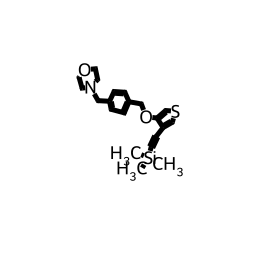 C[Si](C)(C)C#Cc1cscc1OCc1ccc(CN2CCOCC2)cc1